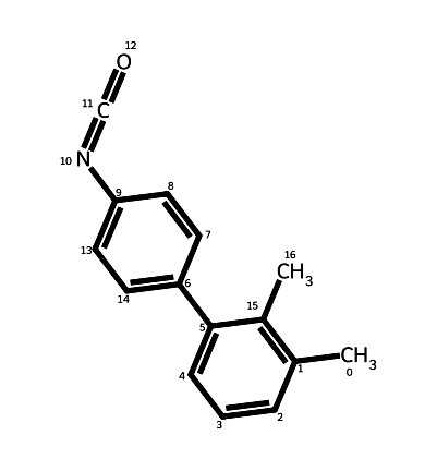 Cc1cccc(-c2ccc(N=C=O)cc2)c1C